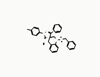 C=C[C@H]1c2ccccc2N(S(=O)(=O)Cc2ccccc2)[C@@H](c2ccccc2)[C@]12C(=O)N(c1ccc(Cl)cc1)N=C2C